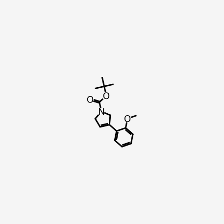 COc1ccccc1C1=CCN(C(=O)OC(C)(C)C)C1